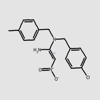 Cc1ccc(CN(Cc2ccc(Cl)cc2)/C(N)=C/[N+](=O)[O-])cc1